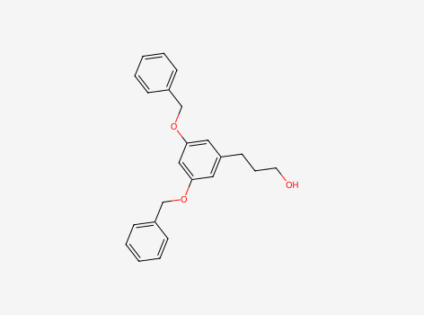 OCCCc1cc(OCc2ccccc2)cc(OCc2ccccc2)c1